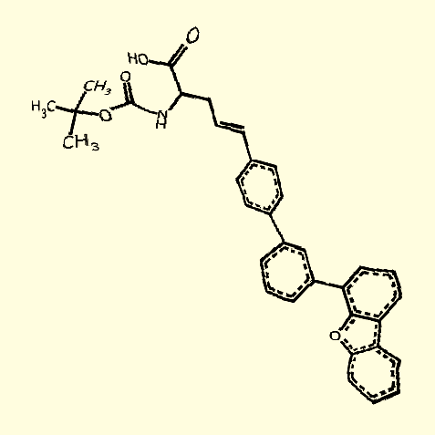 CC(C)(C)OC(=O)NC(C/C=C/c1ccc(-c2cccc(-c3cccc4c3oc3ccccc34)c2)cc1)C(=O)O